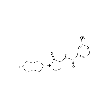 O=C(NC1CCN(C2CC3CNCC3C2)C1=O)c1cccc(C(F)(F)F)c1